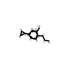 CCCc1ccc(C2CC2)cc1C